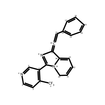 FC(F)(F)c1ccncc1-c1nc(=C=Cc2ccccc2)c2n1CC=CC=2